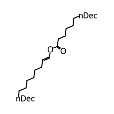 CCCCCCCCCCCCCCCCC=COC(=O)CCCCCCCCCCCCCCC